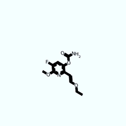 CCOC=Cc1nc(OC)c(F)cc1OC(N)=O